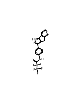 O=C(Nc1ccc(-c2n[nH]c3c2Cc2ccccc2-3)cc1)C(F)(F)C(F)(F)F